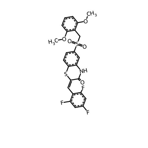 COc1cccc(OC)c1CS(=O)(=O)c1ccc2c(c1)NC(=O)/C(=C\c1c(F)cc(F)cc1F)S2